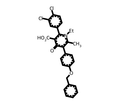 CCn1c(C)c(-c2ccc(OCc3ccccc3)cc2)c(=O)c(C(=O)O)c1-c1ccc(Cl)c(Cl)c1